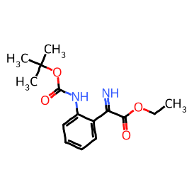 CCOC(=O)C(=N)c1ccccc1NC(=O)OC(C)(C)C